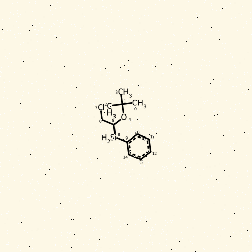 CC(C)(C)OC(CCl)[SiH2]c1ccccc1